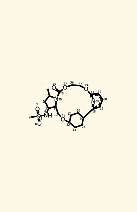 CC1CC(NS(C)(=O)=O)C2COC3CCC(CC3)c3cccc(n3)OCCOC(=O)N12